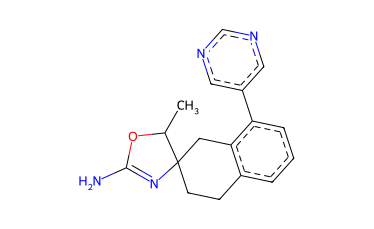 CC1OC(N)=NC12CCc1cccc(-c3cncnc3)c1C2